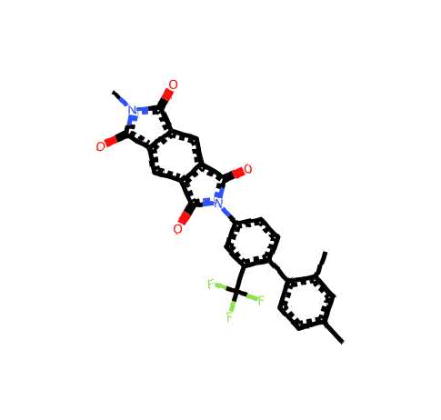 Cc1ccc(-c2ccc(-n3c(=O)c4cc5c(=O)n(C)c(=O)c5cc4c3=O)cc2C(F)(F)F)c(C)c1